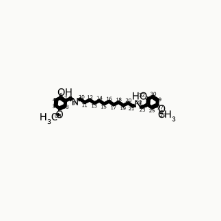 COc1ccc(O)c(C=NCCCCCCCCCCCCN=Cc2cc(OC)ccc2O)c1